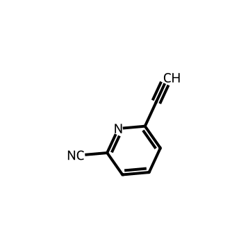 C#Cc1cccc(C#N)n1